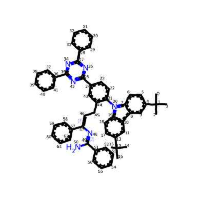 CC(C)(C)c1ccc2c(c1)c1cc(C(C)(C)C)ccc1n2-c1ccc(-c2nc(-c3ccccc3)nc(-c3ccccc3)n2)cc1C/C=C(\N=C(/N)c1ccccc1)c1ccccc1